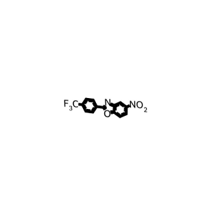 O=[N+]([O-])c1ccc2oc(-c3ccc(C(F)(F)F)cc3)nc2c1